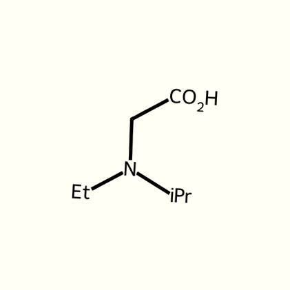 CCN(CC(=O)O)C(C)C